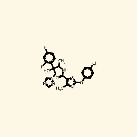 Cc1nc(Oc2ccc(Cl)cc2)sc1C(=O)NC(C)C(O)(Cn1cncn1)c1ccc(F)cc1F